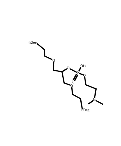 CCCCCCCCCCCCOCC(COCCCCCCCCCCCC)OP(=O)(O)OCCN(C)C